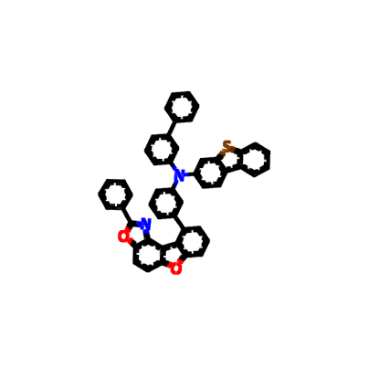 c1ccc(-c2cccc(N(c3cccc(-c4cccc5oc6ccc7oc(-c8ccccc8)nc7c6c45)c3)c3ccc4c(c3)sc3ccccc34)c2)cc1